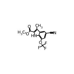 COC(=O)c1[nH]c2c(OC(F)(F)F)cc(C#N)cc2c1C